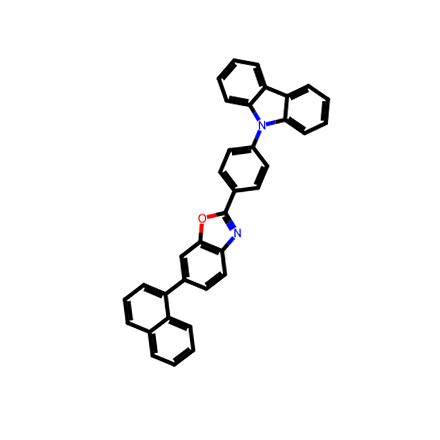 c1ccc2c(-c3ccc4nc(-c5ccc(-n6c7ccccc7c7ccccc76)cc5)oc4c3)cccc2c1